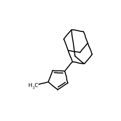 CC1[C]=CC(C2C3CC4CC(C3)CC2C4)=C1